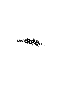 CO[C@H]1CC[C@]2(C)C3CC[C@@]4(C)C(C[C@@H]5OC6(CCC(C)CO6)[C@@H](C)C54)C3CC[C@@H]2C1